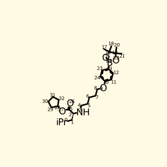 CC(C)C[C@H](NCCCCCOc1ccc(B2OC(C)(C)C(C)(C)O2)cc1)C(=O)OC1CCCC1